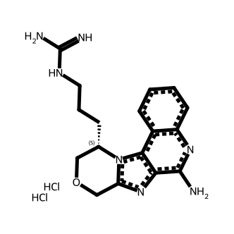 Cl.Cl.N=C(N)NCCC[C@H]1COCc2nc3c(N)nc4ccccc4c3n21